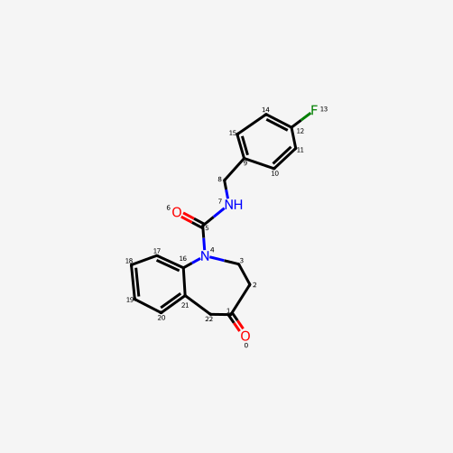 O=C1CCN(C(=O)NCc2ccc(F)cc2)c2ccccc2C1